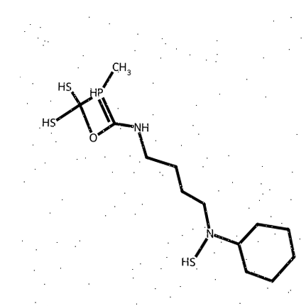 C[PH]1=C(NCCCCN(S)C2CCCCC2)OC1(S)S